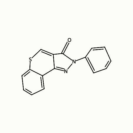 O=c1c2csc3ccccc3c-2nn1-c1ccccc1